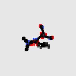 CC(C)(C)CCCCCC(=O)OCC(COc1ccc(-c2nc(-c3ccc(-c4ccccc4)cc3)nc(-c3ccc(-c4ccccc4)cc3)n2)c(O)c1)OC(=O)NCCCCCCn1c(=O)n(CCCCCCN=C=O)c(=O)n(CCCCCCN=C=O)c1=O